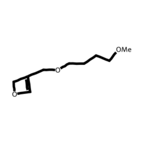 COCCCCOCC1=COC1